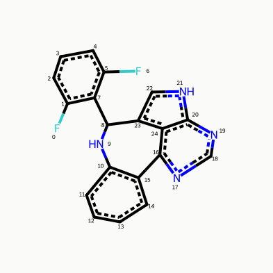 Fc1cccc(F)c1C1Nc2ccccc2-c2ncnc3[nH]cc1c23